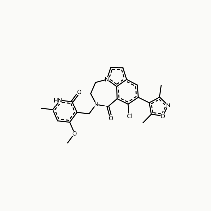 COc1cc(C)[nH]c(=O)c1CN1CCn2ccc3cc(-c4c(C)noc4C)c(Cl)c(c32)C1=O